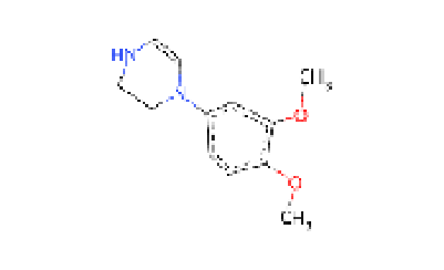 COc1ccc(N2C=CNCC2)cc1OC